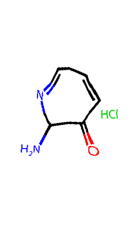 Cl.NC1N=CC=CC1=O